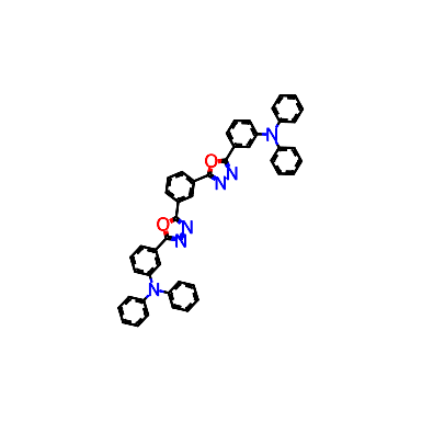 c1ccc(N(c2ccccc2)c2cccc(-c3nnc(-c4cccc(-c5nnc(-c6cccc(N(c7ccccc7)c7ccccc7)c6)o5)c4)o3)c2)cc1